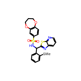 CSc1ccccc1C(NS(=O)(=O)c1ccc2c(c1)OCCCO2)c1nc2cccnc2s1